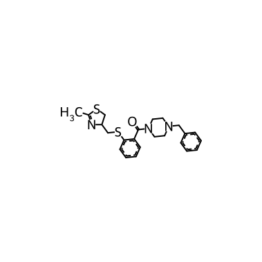 CC1=NC(CSc2ccccc2C(=O)N2CCN(Cc3ccccc3)CC2)CS1